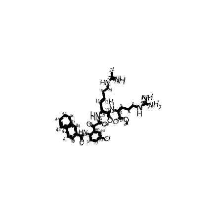 COC(=O)C(CCCNC(=N)N)NC(=O)C(CCCCNC(C)=N)NC(=O)C(=O)c1cc(Cl)ccc1NC(=O)c1ccc2ccccc2c1